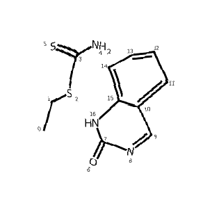 CCSC(N)=S.O=c1ncc2ccccc2[nH]1